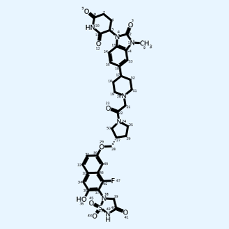 Cn1c(=O)n(C2CCC(=O)NC2=O)c2ccc(C3CCN(CC(=O)N4CC[C@H](COc5ccc6cc(O)c(N7CC(=O)NS7(=O)=O)c(F)c6c5)C4)CC3)cc21